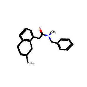 COC1CCc2cccc(CC(=O)N(C)Cc3ccccc3)c2C1